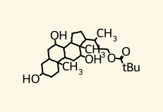 CC(CCOC(=O)C(C)(C)C)C1CCC2C3C(O)CC4CC(O)CCC4(C)C3CC(O)C12C